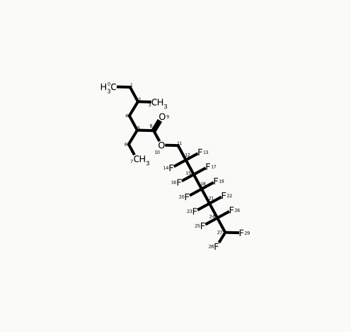 CCC(C)CC(CC)C(=O)OCC(F)(F)C(F)(F)C(F)(F)C(F)(F)C(F)(F)C(F)F